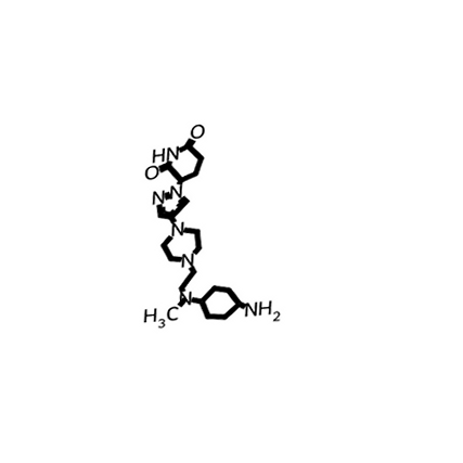 CN(CCN1CCN(c2cnn(C3CCC(=O)NC3=O)c2)CC1)C1CCC(N)CC1